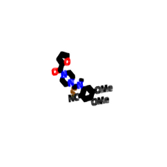 COc1cc(C#N)c(N(C)C(=S)N2CCN(C(=O)c3ccco3)CC2)cc1OC